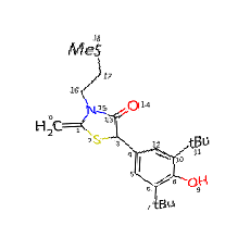 C=C1SC(c2cc(C(C)(C)C)c(O)c(C(C)(C)C)c2)C(=O)N1CCSC